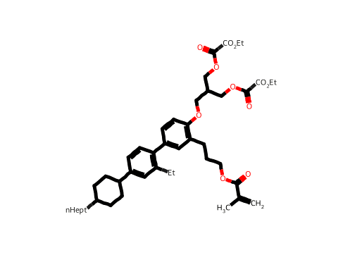 C=C(C)C(=O)OCCCc1cc(-c2ccc(C3CCC(CCCCCCC)CC3)cc2CC)ccc1OCC(COC(=O)C(=O)OCC)COC(=O)C(=O)OCC